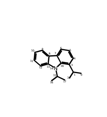 CC(C)c1cccc2c3ccccc3n(C(C)C)c12